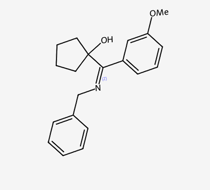 COc1cccc(/C(=N/Cc2ccccc2)C2(O)CCCC2)c1